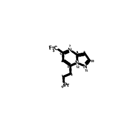 CC(C)CCc1cc(C(F)(F)F)nc2ccnn12